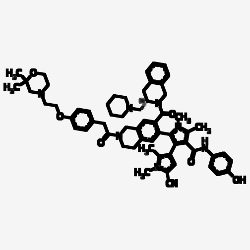 Cc1c(-c2c(C(=O)Nc3ccc(O)cc3)c(C)n(C)c2-c2cc3c(cc2C(=O)N2Cc4ccccc4C[C@H]2CN2CCCCC2)CN(C(=O)Cc2ccc(OCCN4CCOC(C)(C)C4)cc2)CC3)cc(C#N)n1C